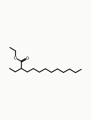 CCCCCCCCCCC(CC)C(=O)OCC